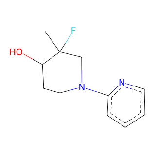 CC1(F)CN(c2ccccn2)CCC1O